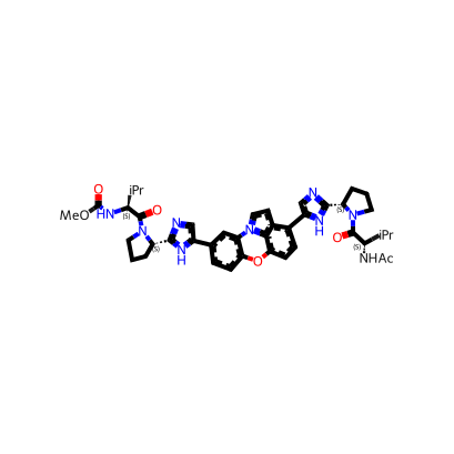 COC(=O)N[C@H](C(=O)N1CCC[C@H]1c1ncc(-c2ccc3c(c2)-n2ccc4c(-c5cnc([C@@H]6CCCN6C(=O)[C@@H](NC(C)=O)C(C)C)[nH]5)ccc(c42)O3)[nH]1)C(C)C